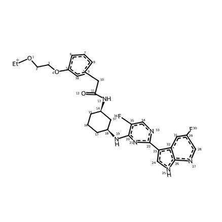 CCOCCOc1cccc(CC(=O)N[C@@H]2CCC[C@H](Nc3nc(-c4c[nH]c5ncc(F)cc45)ncc3F)C2)c1